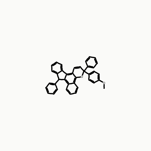 COc1ccc(C2(c3ccccc3)C=Cc3c4c(c5ccccc5c3O2)C(c2ccccc2)c2ccccc2-4)cc1